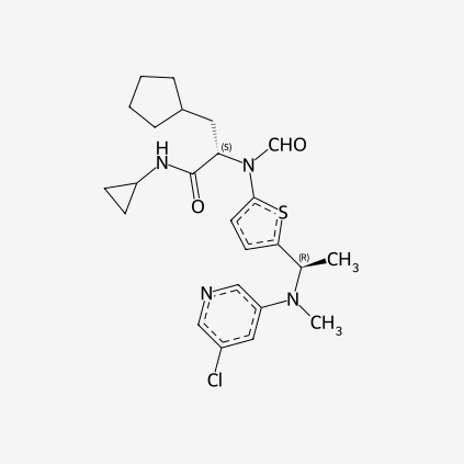 C[C@H](c1ccc(N(C=O)[C@@H](CC2CCCC2)C(=O)NC2CC2)s1)N(C)c1cncc(Cl)c1